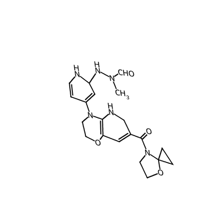 CN(C=O)NC1C=C(N2CCOC3=C2NCC(C(=O)N2CCOC24CC4)=C3)C=CN1